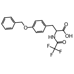 O=C(O)C(Cc1ccc(OCc2ccccc2)cc1)NC(=O)C(F)(F)F